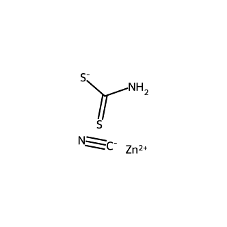 NC(=S)[S-].[C-]#N.[Zn+2]